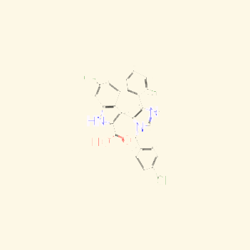 O=C(O)c1[nH]c2cc(Cl)ccc2c1-c1c(-c2ccccc2F)ncn1Cc1ccc(Cl)cc1